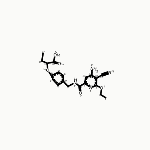 CCOc1nc(C(=O)NCc2ccc(OC(CC)C(=O)O)cc2)cc(N)c1C#N